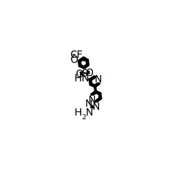 Nc1nc2ccc(-c3cncc(NS(=O)(=O)c4cccc(OC(F)(F)F)c4)c3)cn2n1